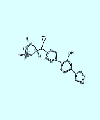 Oc1cc(-c2cn[nH]c2)ccc1-c1cnc(N(C2CC2)[C@H]2C[C@@H]3C[C@H](F)C2[C@H](O)N3)nn1